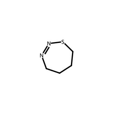 C1CCSN=NC1